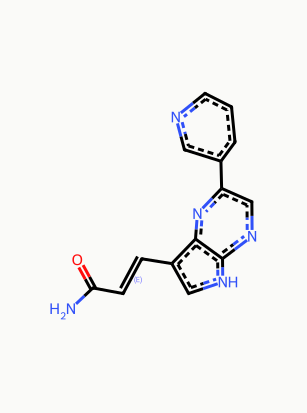 NC(=O)/C=C/c1c[nH]c2ncc(-c3cccnc3)nc12